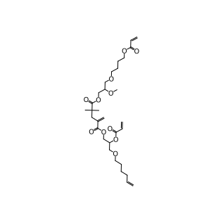 C=CCCCCOCC(COC(=O)C(=C)CC(C)(C)C(=O)OCC(COCCCCOC(=O)C=C)OC)OC(=O)C=C